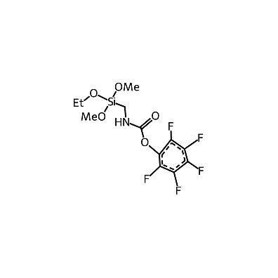 CCO[Si](CNC(=O)Oc1c(F)c(F)c(F)c(F)c1F)(OC)OC